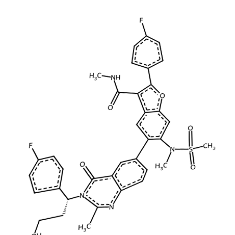 CNC(=O)c1c(-c2ccc(F)cc2)oc2cc(N(C)S(C)(=O)=O)c(-c3ccc4nc(C)n([C@H](CCO)c5ccc(F)cc5)c(=O)c4c3)cc12